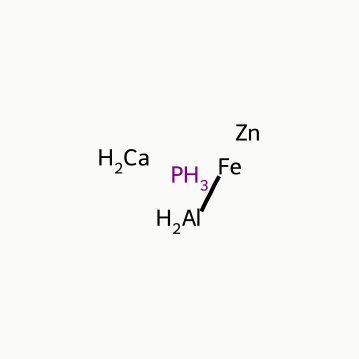 P.[AlH2][Fe].[CaH2].[Zn]